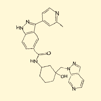 Cc1cc(-c2n[nH]c3ccc(C(=O)NC4CCCC(O)(Cn5ncc6ccncc65)C4)cc23)ccn1